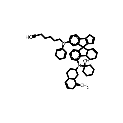 C#CCCCCCN(C1=CCCC=C1)c1ccc2c(c1)C1(C3=C2CC=C3)c2cccc(N(C3CCC4C=CCC(=C)C4C3)C3(C)CCCCC3)c2C2CCC=CC21